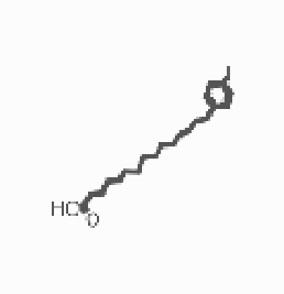 O=C(O)CCCCCCCCCCCCCCc1ccc(I)cc1